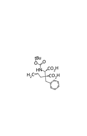 C=CC[C@](Cc1ccccc1)(C(=O)O)[C@@H](NC(=O)OC(C)(C)C)C(=O)O